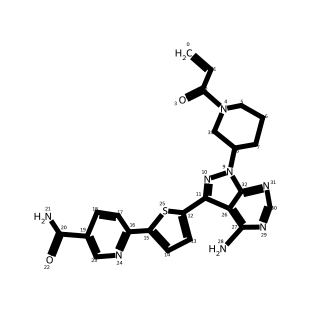 C=CC(=O)N1CCCC(n2nc(-c3ccc(-c4ccc(C(N)=O)cn4)s3)c3c(N)ncnc32)C1